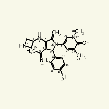 C=C1C(NC2CNC2)=C(C(C)=N)C(c2ccc(Cl)cc2)N1c1cc(C)c(=O)n(C)c1